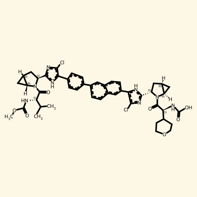 COC(=O)N[C@H](C(=O)N1[C@@H]2C[C@@H]2C[C@H]1c1nc(Cl)c(-c2ccc(-c3ccc4cc(-c5[nH]c([C@@H]6C[C@H]7C[C@H]7N6C(=O)[C@@H](NC(=O)O)C6CCOCC6)nc5Cl)ccc4c3)cc2)[nH]1)C(C)C